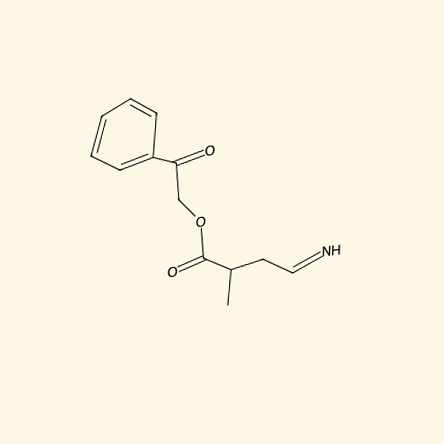 CC(CC=N)C(=O)OCC(=O)c1ccccc1